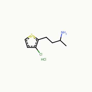 CC(N)CCc1sccc1Cl.Cl